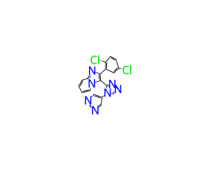 Clc1ccc(Cl)c(-c2nc3ccccn3c2-c2nncn2-c2cncnc2)c1